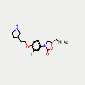 CC(=O)NC[C@H]1CN(c2ccc(OCCC3CCNC3)c(F)c2)C(=O)O1